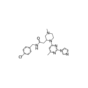 Cc1cc(N2CCN(C)CC2CC(=O)NCc2ccc(Cl)cc2)nc(-n2ccnc2)n1